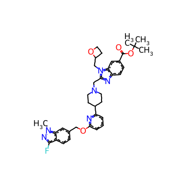 Cn1nc(F)c2ccc(COc3cccc(C4CCN(Cc5nc6ccc(C(=O)OC(C)(C)C)cc6n5CC5CCO5)CC4)n3)cc21